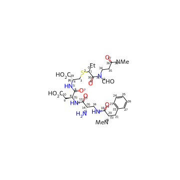 CCC(SC[C@H](NC(=O)[C@H](CC(=O)O)NC(=O)[C@@H](N)CNC(=O)[C@H](Cc1ccccc1)NC)C(=O)O)C(=O)N(C=O)CCC(=O)NC